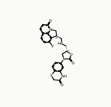 O=C1CSc2ccc(N3C[C@H](CNC[C@@H]4Cn5c(=O)ccc6ccc(F)c4c65)OC3=O)cc2N1